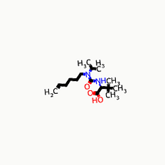 C=CCCCCN(C(=O)N[C@H](C(=O)O)C(C)(C)C)C(C)C